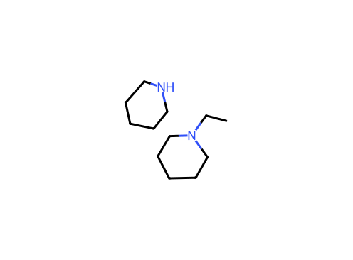 C1CCNCC1.CCN1CCCCC1